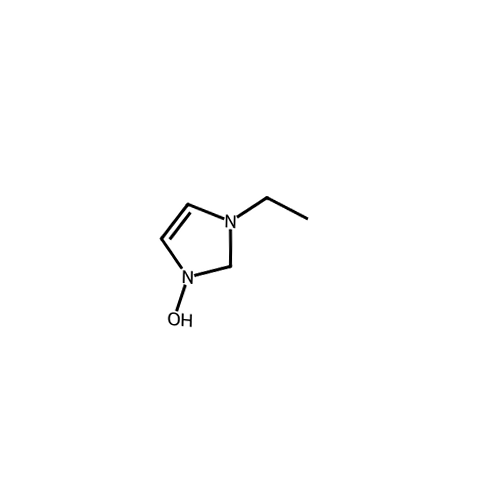 CCN1C=CN(O)C1